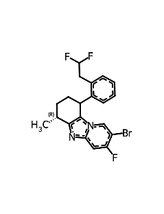 C[C@@H]1CCC(c2ccccc2CC(F)F)c2c1nc1cc(F)c(Br)cn21